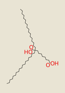 CCCCCCCCCCCCCCCCCCC(CCCCCCCCCCCCCCCCCC)(CCCCCCCC(=O)O)C(=O)O